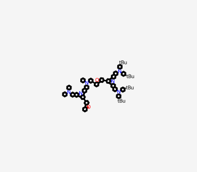 CC(C)(C)c1ccc(N(c2ccc(C(C)(C)C)cc2)c2ccc3cc4c5cc(-c6ccc7oc8c(-c9cccc(N(c%10ccccc%10)c%10ccc%11cc%12c%13cc(-c%14ccc%15oc%16ccccc%16c%15c%14)cc%14c%15cc%16ccc(N(c%17ccccc%17)c%17ccccc%17)cc%16cc%15n(c%12cc%11c%10)c%14%13)c9)cccc8c7c6)cc6c7cc8ccc(N(c9ccc(C(C)(C)C)cc9)c9ccc(C(C)(C)C)cc9)cc8cc7n(c4cc3c2)c56)cc1